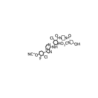 N#CCOc1ccc(-c2cnc3c(Nc4ccc(C(=O)N5CCN(C(=O)[C@@H]6C[C@@H](O)CN6C(=O)O)CC5)c(Cl)c4)nccn23)c(Cl)c1F